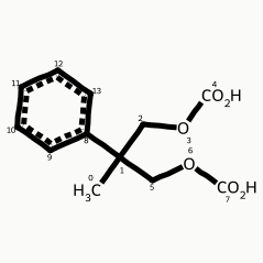 CC(COC(=O)O)(COC(=O)O)c1ccccc1